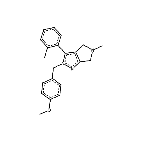 COc1ccc(Cn2nc3c(c2-c2ccccc2C)CN(C)C3)cc1